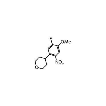 COc1cc([N+](=O)[O-])c(C2CCOCC2)cc1F